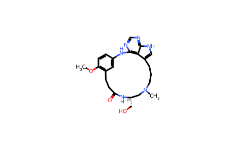 COc1ccc2cc1CCC(=O)N[C@@H](CO)CN(C)CCCc1c[nH]c3ncnc(c13)N2